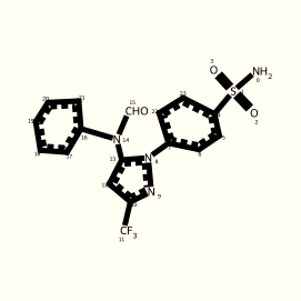 NS(=O)(=O)c1ccc(-n2nc(C(F)(F)F)cc2N(C=O)c2ccccc2)cc1